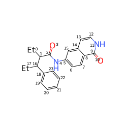 CCC(C(=O)Nc1ccc2c(=O)[nH]ccc2c1)C(CC)c1ccccc1